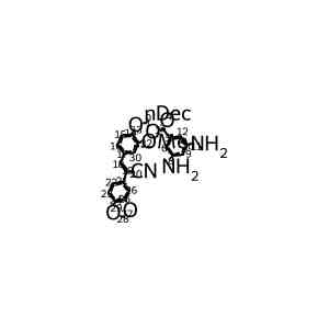 CCCCCCCCCCC(OC(=O)c1cc(N)cc(N)c1)Oc1ccc(C=C(C#N)c2ccc3c(c2)OCO3)cc1OC